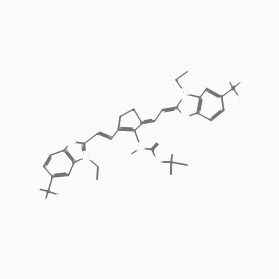 CCN1/C(=C/C=C2\CCC(/C=C/c3sc4ccc(C(F)(F)F)cc4[n+]3CC)=C2N(C)C(=O)OC(C)(C)C)Sc2ccc(C(F)(F)F)cc21